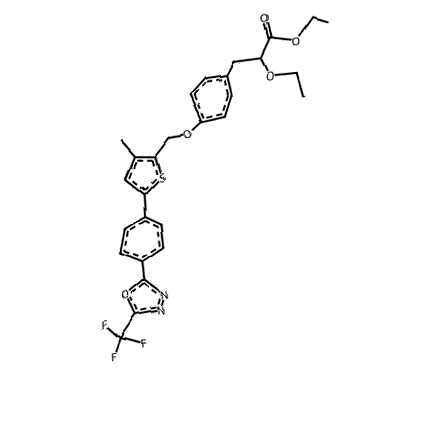 CCOC(=O)C(Cc1ccc(OCc2sc(-c3ccc(-c4nnc(C(F)(F)F)o4)cc3)cc2C)cc1)OCC